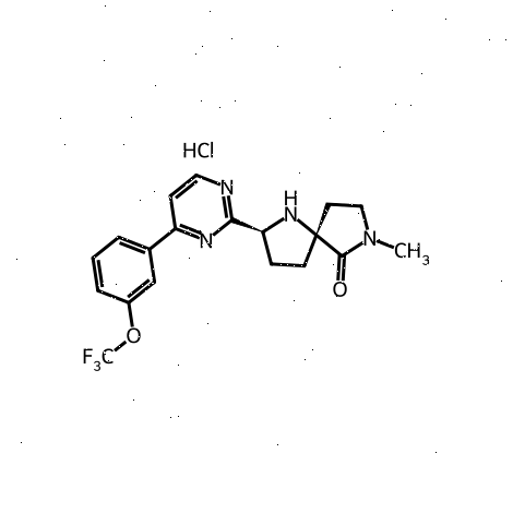 CN1CC[C@]2(CC[C@@H](c3nccc(-c4cccc(OC(F)(F)F)c4)n3)N2)C1=O.Cl